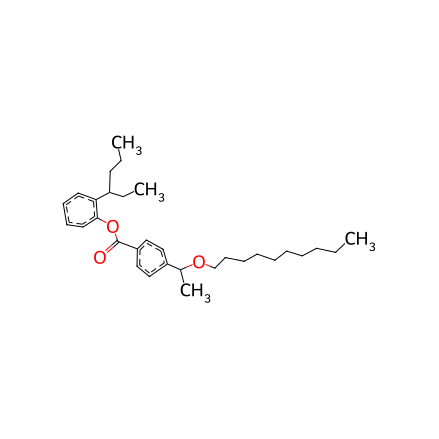 CCCCCCCCCCOC(C)c1ccc(C(=O)Oc2ccccc2C(CC)CCC)cc1